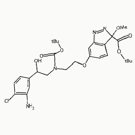 COC1(C(=O)OC(C)(C)C)N=Nc2cc(OCCN(CC(O)c3ccc(Cl)c(N)c3)C(=O)OC(C)(C)C)ccc21